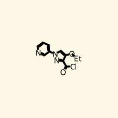 CCOc1cn(-c2cccnc2)nc1C(=O)Cl